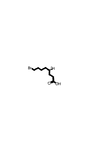 [2H][C@H](CCCCBr)CCC(=O)O